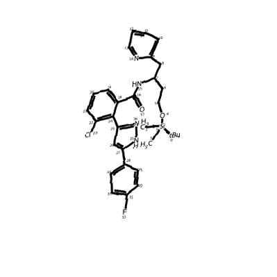 CC(C)(C)[Si](C)(C)OCCC(Cc1ccccn1)NC(=O)c1cccc(Cl)c1-c1cc(-c2ccc(F)cc2)[nH]n1